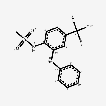 CS(=O)(=O)Nc1ccc(C(F)(F)F)cc1[Se]c1ccccc1